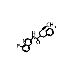 CC#CCC(Cc1ccccc1)C(=O)Nc1cnc2c(F)cccc2c1